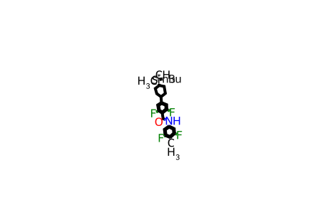 CCCC[Si](C)(C)C1CCC(c2cc(F)c(C(=O)Nc3cc(F)c(C)c(F)c3)c(F)c2)CC1